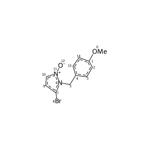 COc1ccc(Cn2c(Br)cc[n+]2[O-])cc1